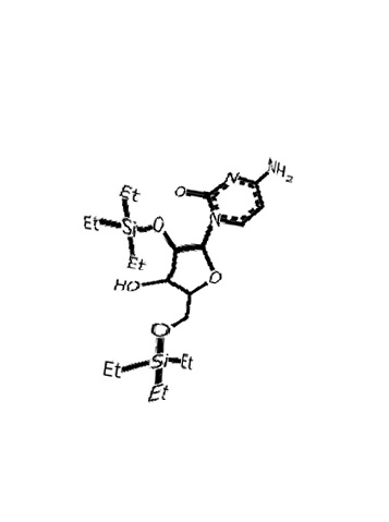 CC[Si](CC)(CC)OCC1OC(n2ccc(N)nc2=O)C(O[Si](CC)(CC)CC)C1O